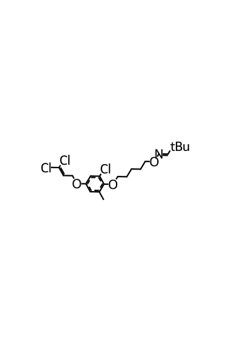 Cc1cc(OCC=C(Cl)Cl)cc(Cl)c1OCCCCCO/N=C/C(C)(C)C